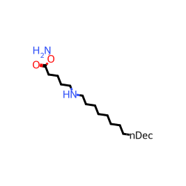 CCCCCCCCCCCCCCCCCCNCCCCC(=O)ON